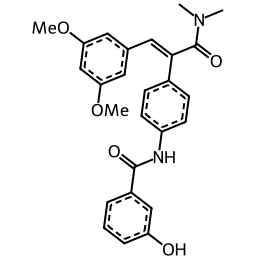 COc1cc(/C=C(/C(=O)N(C)C)c2ccc(NC(=O)c3cccc(O)c3)cc2)cc(OC)c1